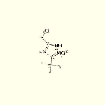 CC(C)(C)c1c[nH]c(CCl)n1.Cl